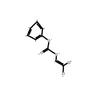 O=C(OC=C(Cl)Cl)Oc1ccccc1